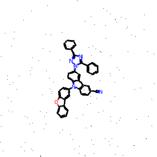 N#Cc1ccc2c(c1)c1cc(-n3nc(-c4ccccc4)nc3-c3ccccc3)ccc1n2-c1ccc2oc3ccccc3c2c1